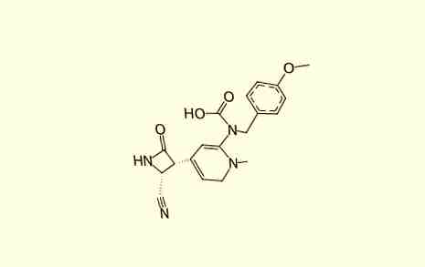 COc1ccc(CN(C(=O)O)C2=CC([C@H]3C(=O)N[C@H]3C#N)=CCN2C)cc1